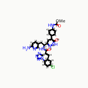 COC(=O)Nc1ccc(-c2cc(C(Cc3ccc(N)nc3)NC(=O)C=Cc3cc(Cl)ccc3-n3cnnn3)n[nH]c2=O)cc1